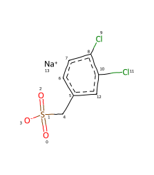 O=S(=O)([O-])Cc1ccc(Cl)c(Cl)c1.[Na+]